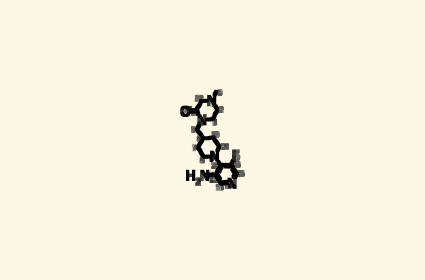 CN1CCN(CC2CCN(c3c(N)cncc3F)CC2)C(=O)C1